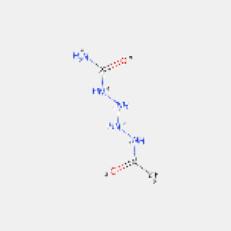 CCC(=O)NNNNC(N)=O